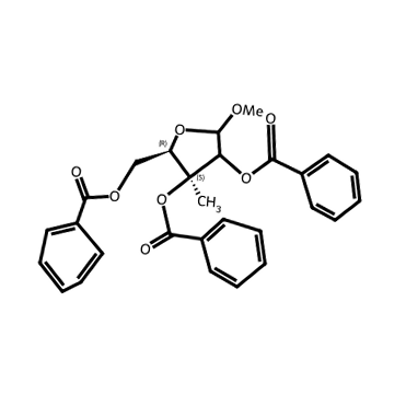 COC1O[C@H](COC(=O)c2ccccc2)[C@](C)(OC(=O)c2ccccc2)C1OC(=O)c1ccccc1